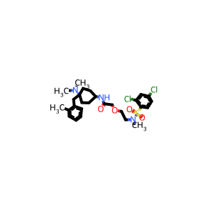 Cc1ccccc1CC1(N(C)C)CCC(NC(=O)COCCN(C)S(=O)(=O)c2ccc(Cl)cc2Cl)CC1